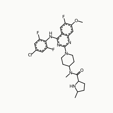 COc1cc2nc(N3CCC(N(C)C(=O)C4CCC(C)N4)CC3)nc(Nc3c(F)cc(Cl)cc3F)c2cc1F